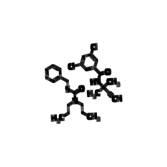 C#CC(C)(C)NC(=O)c1cc(Cl)cc(Cl)c1.CCCN(CCC)C(=O)SCc1ccccc1